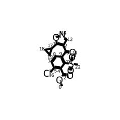 COC(=O)c1c(Cl)ccc(C(=O)c2cnoc2C2CC2)c1S(C)(=O)=O